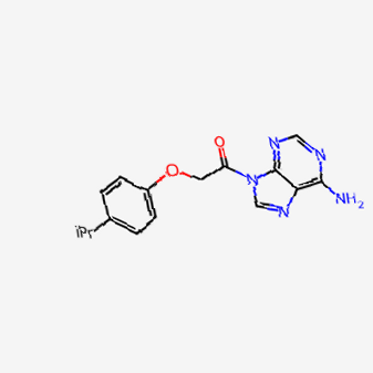 CC(C)c1ccc(OCC(=O)n2cnc3c(N)ncnc32)cc1